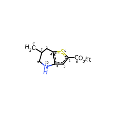 CCOC(=O)c1cc2c(s1)CC(C)CN2